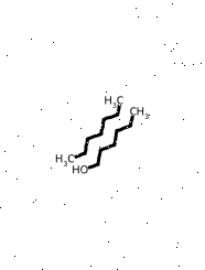 CCCCCCC.CCCCCCO